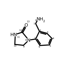 NCc1ccccc1N1CCNC1=O